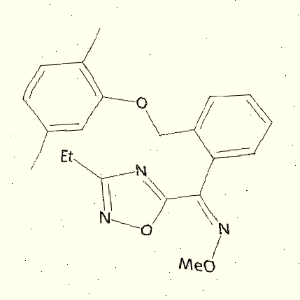 CCc1noc(C(=NOC)c2ccccc2COc2cc(C)ccc2C)n1